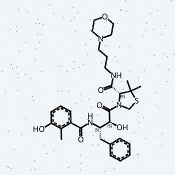 Cc1c(O)cccc1C(=O)N[C@@H](Cc1ccccc1)[C@H](O)C(=O)N1CSC(C)(C)[C@H]1C(=O)NCCCN1CCOCC1